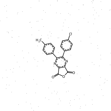 Cc1ccc(-c2nc3c(nc2-c2ccc(Cl)cc2)C(=O)OC3=O)cc1